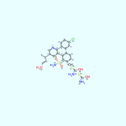 C.C=CC(C)c1cnc(-c2ccc(Cl)cc2)c(-c2ccccc2S(N)(=O)=O)c1.NC(O)=S.NC(O)=S.O